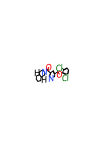 O=C(c1cncc(COc2c(Cl)cccc2Cl)c1)N1CC[C@@H]2CCCC[C@@H]2C1